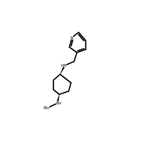 CC(C)(C)N[C@H]1CC[C@@H](NCc2cccnc2)CC1